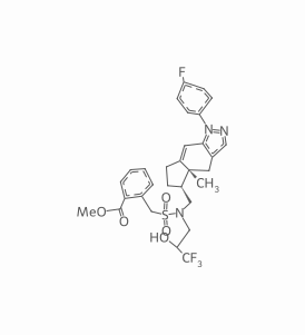 COC(=O)c1ccccc1CS(=O)(=O)N(CC(O)C(F)(F)F)C[C@H]1CCC2=Cc3c(cnn3-c3ccc(F)cc3)C[C@@]21C